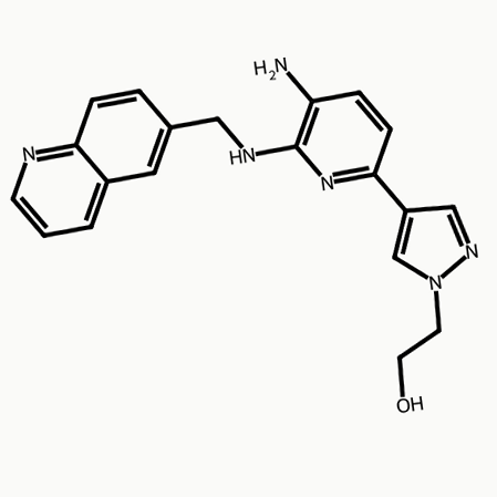 Nc1ccc(-c2cnn(CCO)c2)nc1NCc1ccc2ncccc2c1